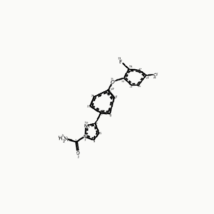 NC(=O)n1ccc(-c2ccc(Oc3ccc(Cl)cc3F)cc2)n1